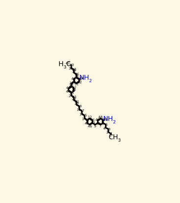 CCCCCCc1cc(Cc2ccc(CCCCCCCCCCCc3ccc(Cc4ccc(N)c(CCCCCC)c4)cc3)cc2)ccc1N